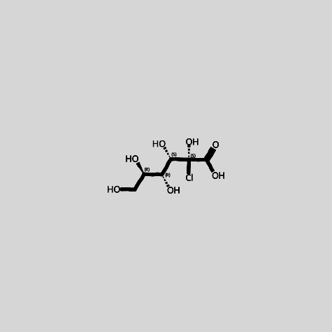 O=C(O)[C@@](O)(Cl)[C@@H](O)[C@H](O)[C@H](O)CO